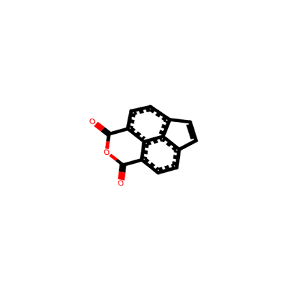 O=C1OC(=O)c2ccc3c4c(ccc1c24)C=C3